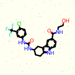 O=C(Nc1ccc(Cl)c(C(F)(F)F)c1)NC1CCc2[nH]c3ccc(C(=O)NCCO)cc3c2C1